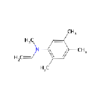 C=CN(C)c1cc(C)c(C)cc1C